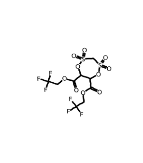 O=C(OCC(F)(F)F)C1OS(=O)(=O)CS(=O)(=O)OC1C(=O)OCC(F)(F)F